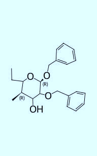 CCC1O[C@@H](OCc2ccccc2)C(OCc2ccccc2)C(O)[C@H]1C